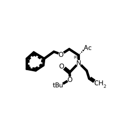 C=CCN(C(=O)OC(C)(C)C)[C@H](COCc1ccccc1)C(C)=O